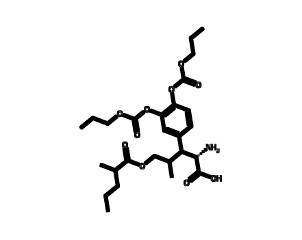 CCCOC(=O)Oc1ccc(C(C(C)COC(=O)C(C)CCC)[C@H](N)C(=O)O)cc1OC(=O)OCCC